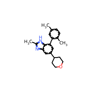 Cc1ccc(C)c(-c2cc(C3CCOCC3)cc3nc(C)[nH]c23)c1